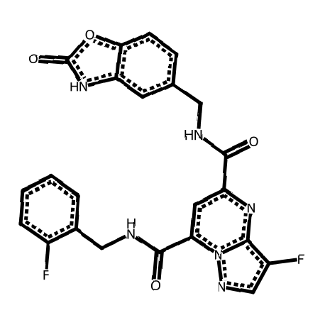 O=C(NCc1ccc2oc(=O)[nH]c2c1)c1cc(C(=O)NCc2ccccc2F)n2ncc(F)c2n1